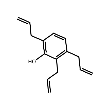 C=CCc1[c]cc(CC=C)c(CC=C)c1O